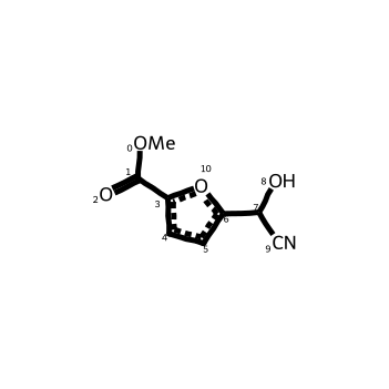 COC(=O)c1ccc(C(O)C#N)o1